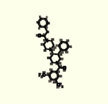 O=C(Cc1ccccc1)N1CCN(C2CCN(C(=O)c3cc(C(F)(F)F)cc(C(F)(F)F)c3)CC2c2ccccc2)CC1